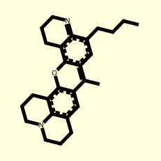 CCCCc1cc2c(c3c1=NCCC3)Oc1c(cc3c4c1CCCN4CCC3)C=2C